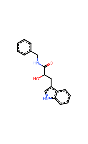 O=C(NCc1ccccc1)C(O)Cc1c[nH]c2ccccc12